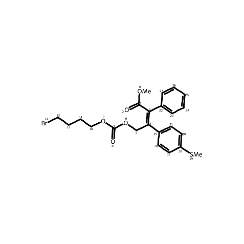 COC(=O)/C(=C(\COC(=O)OCCCCBr)c1ccc(SC)cc1)c1ccccc1